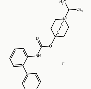 CC(C)[N+]12CCC(OC(=O)Nc3ccccc3-c3ccccc3)(CC1)CC2.[I-]